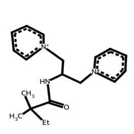 CCC(C)(C)C(=O)NC(C[n+]1ccccc1)C[n+]1ccccc1